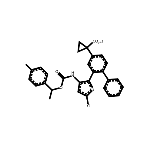 CCOC(=O)C1(c2ccc(-c3ccccc3)c(-c3sc(Cl)cc3NC(=O)OC(C)c3ccc(F)cc3)c2)CC1